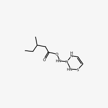 CCC(C)CC(=O)ONn1[nH]ccs[nH]1